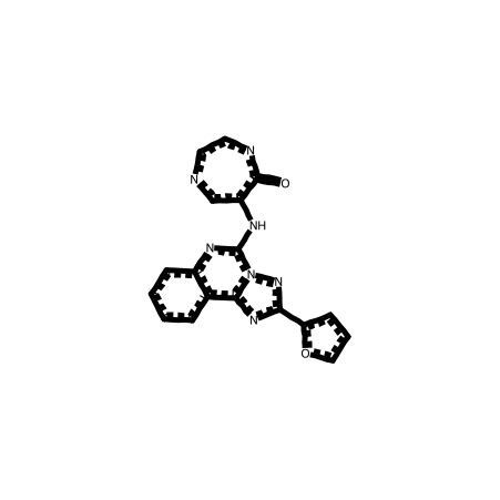 O=c1nccncc1Nc1nc2ccccc2c2nc(-c3ccco3)nn12